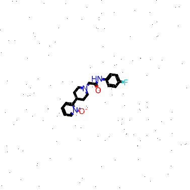 O=C(CN1CCC(c2cccc[n+]2[O-])CC1)Nc1ccc(F)cc1